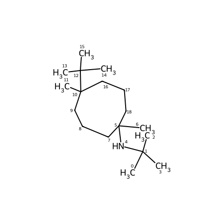 CC(C)(C)NC1(C)CCCC(C)(C(C)(C)C)CCC1